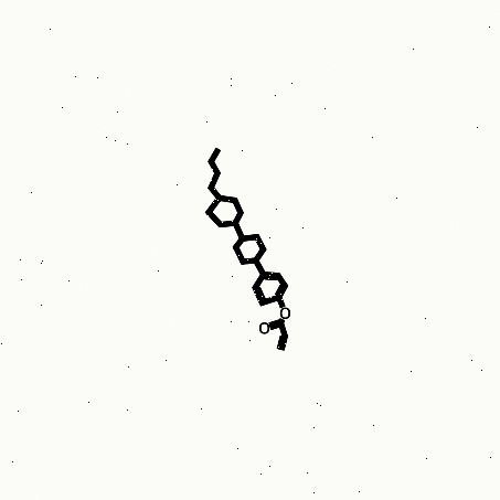 C=CC(=O)Oc1ccc(C2CCC(C3CCC(CCCC)CC3)CC2)cc1